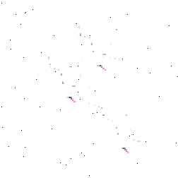 CCC(O)(C(=O)[O-])C(O)C(O)C(O)CO.CCC(O)(C(=O)[O-])C(O)C(O)C(O)CO.CCC(O)(C(=O)[O-])C(O)C(O)C(O)CO.[Ce+3]